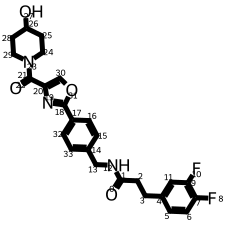 O=C(CCc1ccc(F)c(F)c1)NCc1ccc(-c2nc(C(=O)N3CCC(O)CC3)co2)cc1